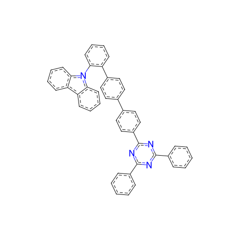 c1ccc(-c2nc(-c3ccccc3)nc(-c3ccc(-c4ccc(-c5ccccc5-n5c6ccccc6c6ccccc65)cc4)cc3)n2)cc1